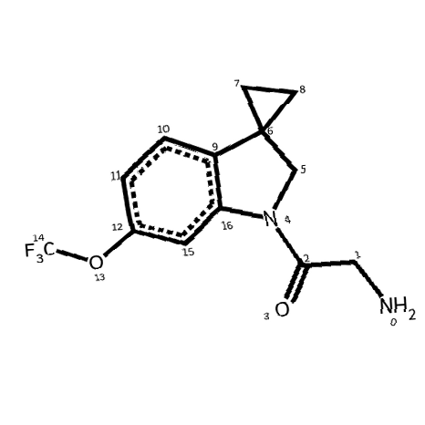 NCC(=O)N1CC2(CC2)c2ccc(OC(F)(F)F)cc21